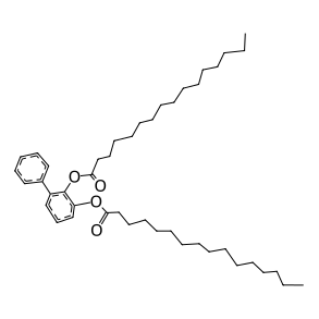 CCCCCCCCCCCCCCCC(=O)Oc1cccc(-c2ccccc2)c1OC(=O)CCCCCCCCCCCCCCC